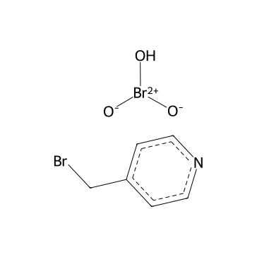 BrCc1ccncc1.[O-][Br+2]([O-])O